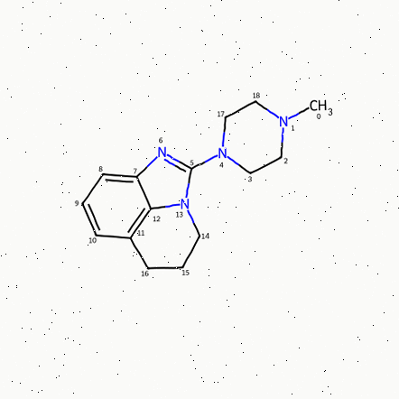 CN1CCN(c2nc3cccc4c3n2CCC4)CC1